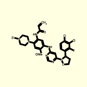 C=CC(=O)Nc1cc(Nc2cc(N3OCCC3c3ccc(Cl)c(Cl)c3F)ncn2)c(OC)cc1N1CCN(CC)CC1